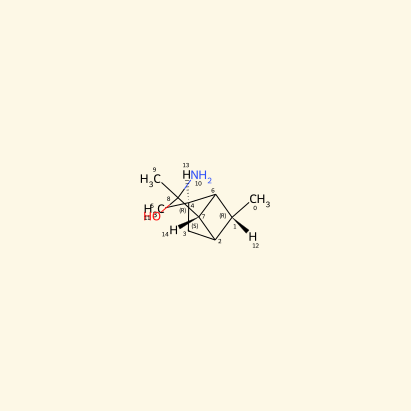 C[C@@H]1C2C[C@@H](C)C1[C@H]2C(C)(N)O